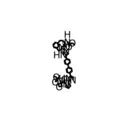 COC(=O)N[C@H]1CCc2cccc3c2N(C1=O)[C@H](c1ncc(-c2ccc(-c4ccc(-c5cnc([C@@H]6CCCN6C(=O)C6(NC(=O)OC)COC6)[nH]5)cc4)cc2)[nH]1)C3